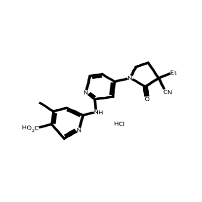 CCC1(C#N)CCN(c2ccnc(Nc3cc(C)c(C(=O)O)cn3)c2)C1=O.Cl